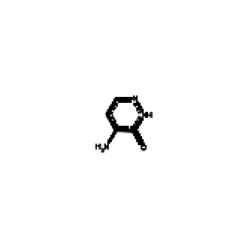 Nc1ccn[nH]c1=O